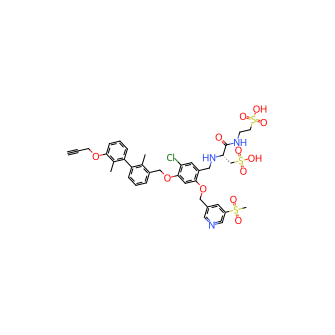 C#CCOc1cccc(-c2cccc(COc3cc(OCc4cncc(S(C)(=O)=O)c4)c(CN[C@@H](CS(=O)(=O)O)C(=O)NCCS(=O)(=O)O)cc3Cl)c2C)c1C